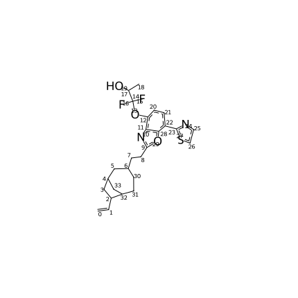 C=CC1CC2CC(CCc3nc4c(OC(F)(F)C(C)O)ccc(-c5nccs5)c4o3)CCC1C2